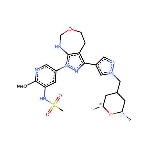 COc1ncc(-n2nc(-c3cnn(CC4C[C@@H](C)O[C@@H](C)C4)c3)c3c2NCOCC3)cc1NS(C)(=O)=O